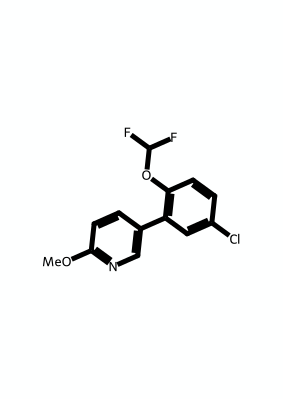 COc1ccc(-c2cc(Cl)ccc2OC(F)F)cn1